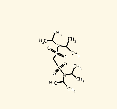 CC(C)N(C(C)C)S(=O)(=O)CS(=O)(=O)N(C(C)C)C(C)C